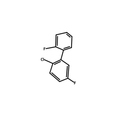 Fc1ccc(Cl)c(-c2ccccc2F)c1